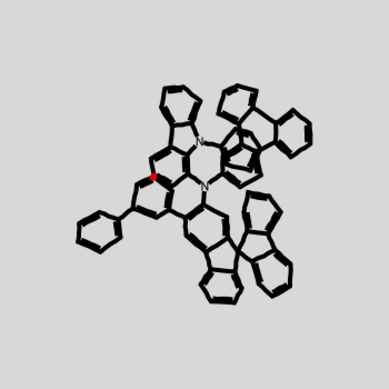 c1ccc(-c2cccc(-c3cc4c(cc3N(c3ccc5c6ccccc6c6ccccc6c5c3)c3cccc5c6ccccc6n(-c6ccccc6)c35)C3(c5ccccc5-c5ccccc53)c3ccccc3-4)c2)cc1